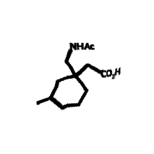 CC(=O)NCC1(CC(=O)O)CCCC(C)C1